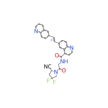 N#CC1CC(F)(F)CN1C(=O)CNC(=O)c1ccnc2ccc(/C=C/c3ccc4ncccc4c3)cc12